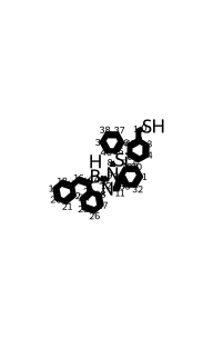 SCc1cccc([Si](Cn2ccnc2BC(=Cc2ccccc2)c2ccccc2)(c2ccccc2)c2ccccc2)c1